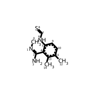 C/N=C(/N)c1c(NC=S)ccc(C)c1C